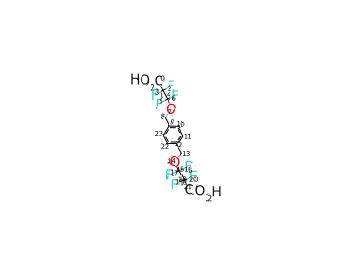 O=C(O)C(F)(F)C(F)(F)OCc1ccc(COC(F)(F)C(F)(F)C(=O)O)cc1